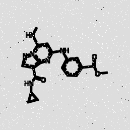 CNc1cc(Nc2cccc(C(=O)OC)c2)nc2c(C(=O)NC3CC3)cnn12